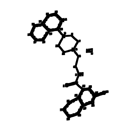 Cl.O=C(NCCN1CCN(c2nccc3ccccc23)CC1)c1cc(=O)oc2ccccc12